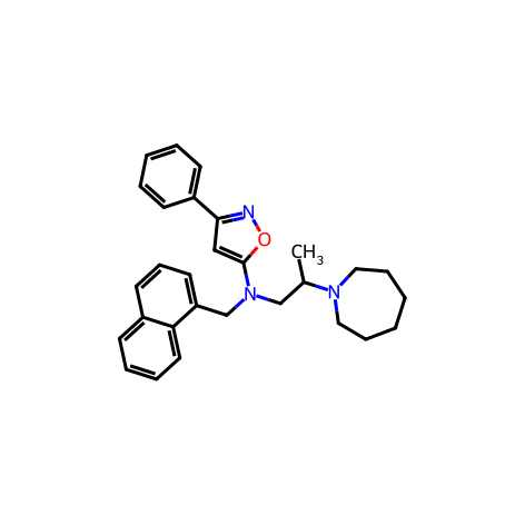 CC(CN(Cc1cccc2ccccc12)c1cc(-c2ccccc2)no1)N1CCCCCC1